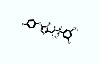 CCn1c(Oc2ccc(F)cc2)nnc1[C@@H](C)NS(=O)(=O)c1cc(Br)cc(C(F)(F)F)c1